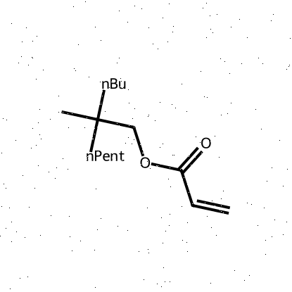 C=CC(=O)OCC(C)(CCCC)CCCCC